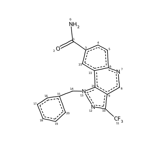 NC(=O)c1ccc2ncc3c(C(F)(F)F)nn(Cc4ccccc4)c3c2c1